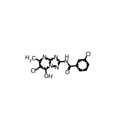 Cc1nc2nc(NC(=O)c3cccc(Cl)c3)nn2c(O)c1Cl